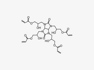 C=CC(=O)OCC(O)CN1C(=O)N(CC(O)COC(=O)C=C)C2C1N(CC(O)COC(=O)C=C)C(=O)N2CC(O)COC(=O)C=C